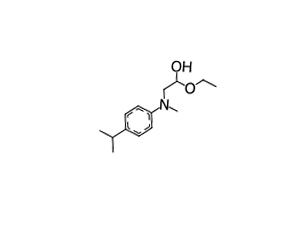 CCOC(O)CN(C)c1ccc(C(C)C)cc1